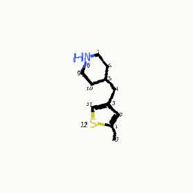 Cc1cc(CC2CCNCC2)cs1